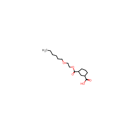 CCCCCCOCCOC(=O)C1CCCC(C(=O)O)C1